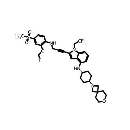 CS(=O)(=O)c1ccc(NCC#Cc2cc3c(N[C@H]4CC[C@H](N5CC6(CCOCC6)C5)CC4)cccc3n2CC(F)(F)F)c(OCF)c1